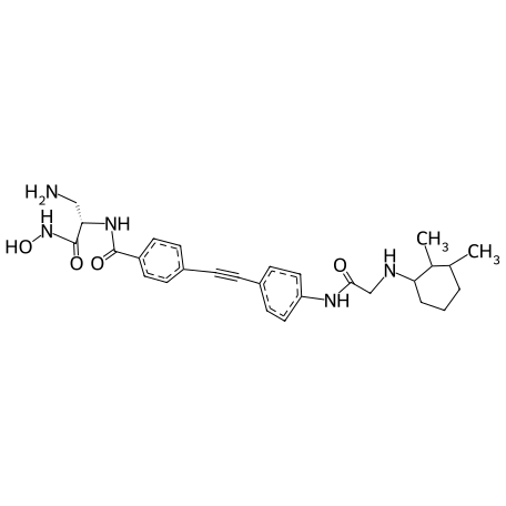 CC1CCCC(NCC(=O)Nc2ccc(C#Cc3ccc(C(=O)N[C@@H](CN)C(=O)NO)cc3)cc2)C1C